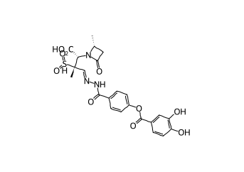 C[C@@H]1CC(=O)N1[C@@H](C(=O)O)[C@](C)(/C=N/NC(=O)c1ccc(OC(=O)c2ccc(O)c(O)c2)cc1)[SH](=O)=O